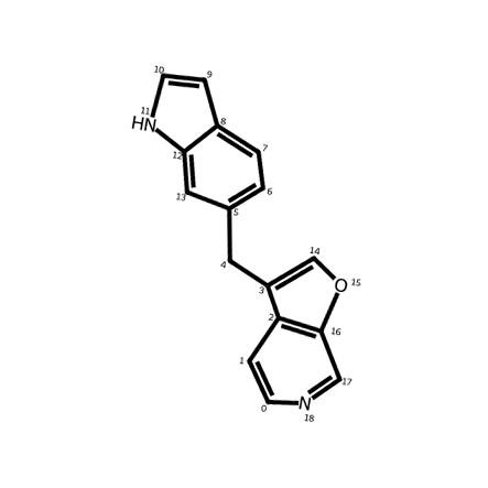 c1cc2c(Cc3ccc4cc[nH]c4c3)coc2cn1